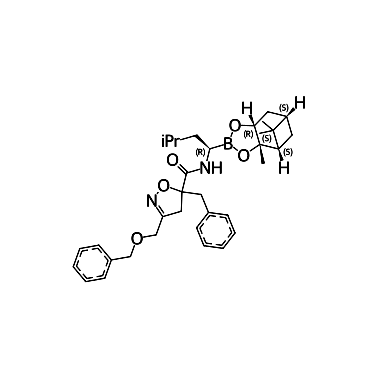 CC(C)C[C@H](NC(=O)C1(Cc2ccccc2)CC(COCc2ccccc2)=NO1)B1O[C@@H]2C[C@@H]3C[C@@H](C3(C)C)[C@]2(C)O1